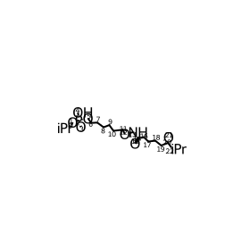 CC(C)OP(=O)(O)OCCCCCCONC(=O)CCCCC(=O)C(C)C